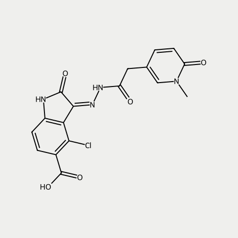 Cn1cc(CC(=O)NN=C2C(=O)Nc3ccc(C(=O)O)c(Cl)c32)ccc1=O